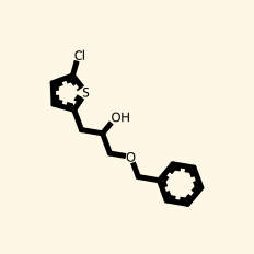 OC(COCc1ccccc1)Cc1ccc(Cl)s1